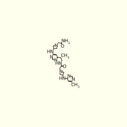 Cc1cc(NC2CN(CC(=O)NC[C@@H](C)c3cc(NC4CN(CC(N)=O)C4)ncn3)C2)ncn1